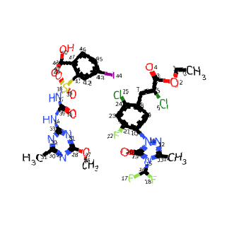 CCOC(=O)C(Cl)Cc1cc(-n2nc(C)n(C(F)F)c2=O)c(F)cc1Cl.COc1nc(C)nc(NC(=O)NS(=O)(=O)c2cc(I)ccc2C(=O)O)n1